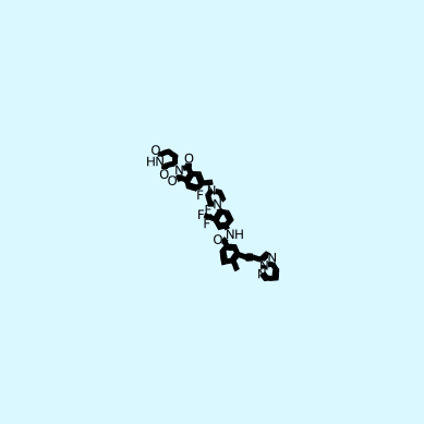 Cc1ccc(C(=O)Nc2ccc(N3CCN(Cc4cc5c(cc4F)C(=O)N(C4CCC(=O)NC4=O)C5=O)CC3)c(C(F)(F)F)c2)cc1C#Cc1cnc2cccnn12